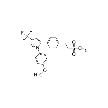 COc1ccc(-n2nc(C(F)(F)F)cc2-c2ccc(CCS(C)(=O)=O)cc2)cc1